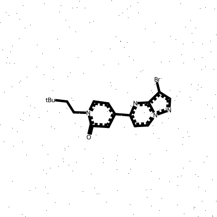 CC(C)(C)CCn1ccc(-c2ccn3ncc(Br)c3n2)cc1=O